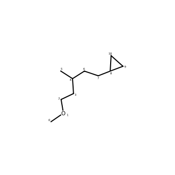 COCCC(C)CCC1CC1